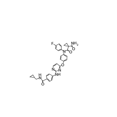 NC(=O)C1(C(=O)N(c2ccc(F)cc2)c2ccc(Oc3ccnc(Nc4ccc(C(=O)NCC5CC5)cc4)n3)cc2)CC1